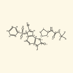 Cn1c(=O)n([C@@H]2CC[C@@H](NC(=O)OC(C)(C)C)C2)c2c3cc(Br)n(S(=O)(=O)c4ccccc4)c3ncc21